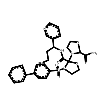 NC(=O)C1SCCN1C1(C(=O)NC(CCO)c2cccnc2)SCCN1S(=O)(=O)c1ccc(-c2ccccc2)cc1